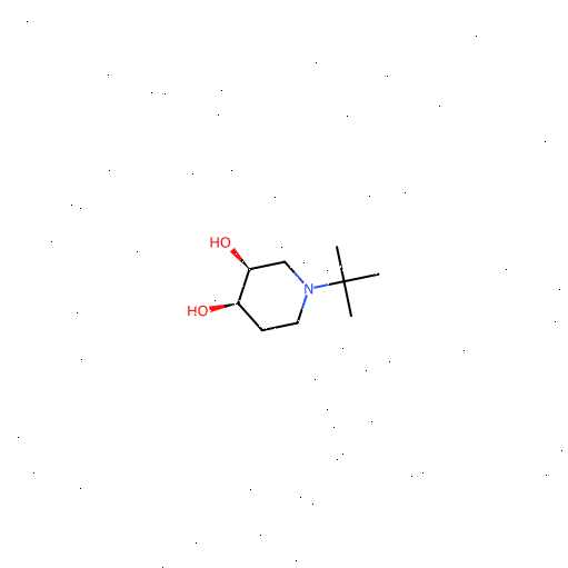 CC(C)(C)N1CC[C@@H](O)[C@@H](O)C1